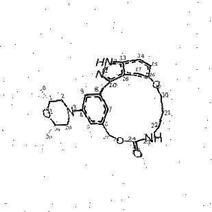 C[C@@H]1CN(c2cc3cc(c2)-c2n[nH]c4ccc(cc24)OCCCNC(=O)OC3)C[C@H](C)O1